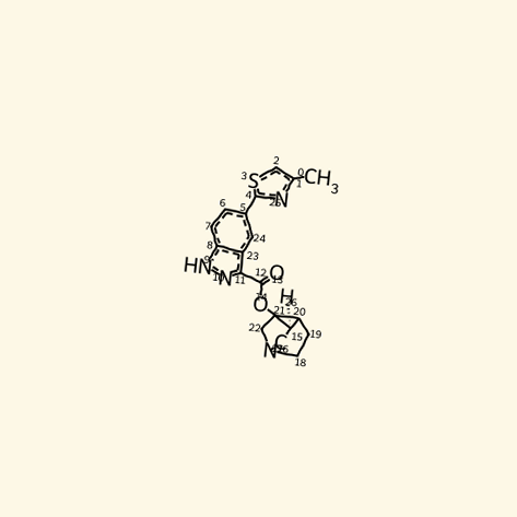 Cc1csc(-c2ccc3[nH]nc(C(=O)O[C@@H]4CN5CCC4CC5)c3c2)n1